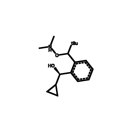 C[SiH](C)OC(c1ccccc1[C@H](O)C1CC1)C(C)(C)C